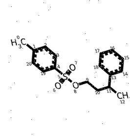 Cc1ccc(S(=O)(=O)OCCC(C)c2ccccc2)cc1